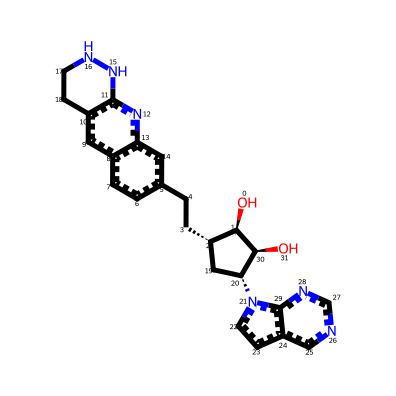 O[C@@H]1[C@@H](CCc2ccc3cc4c(nc3c2)NNCC4)C[C@@H](n2ccc3cncnc32)[C@@H]1O